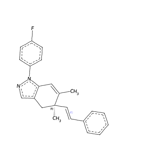 CC1=Cc2c(cnn2-c2ccc(F)cc2)C[C@]1(C)/C=C/c1ccccc1